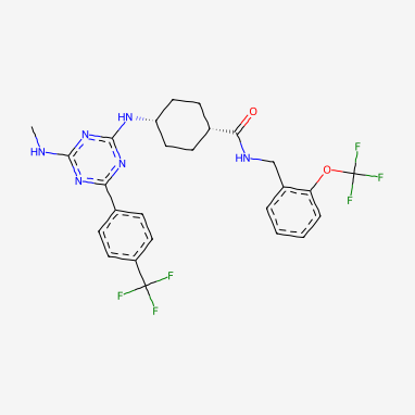 CNc1nc(N[C@H]2CC[C@@H](C(=O)NCc3ccccc3OC(F)(F)F)CC2)nc(-c2ccc(C(F)(F)F)cc2)n1